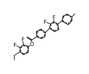 C=C(Oc1ccc(CC)c(F)c1F)c1ccc(-c2ccc(-c3ccc(C)cc3)c(F)c2F)cc1